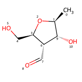 C[C@@H]1O[C@H](CO)[C@@H](C=O)[C@H]1O